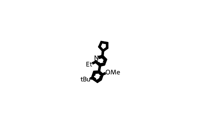 CCc1nc(C2CCCC2)ccc1-c1cc(C(C)(C)C)ccc1OC